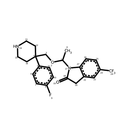 CC(OCC1(c2ccc(F)cc2)CCNCC1)N1C(=O)Cc2cc(C(F)(F)F)ccc21